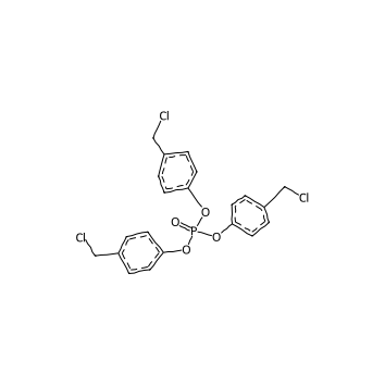 O=P(Oc1ccc(CCl)cc1)(Oc1ccc(CCl)cc1)Oc1ccc(CCl)cc1